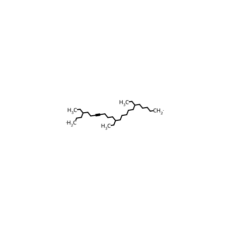 [CH2]CCCCC(CC)CCCCCC(CC)CCCC#CCCC(CC)CC[CH2]